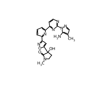 Cc1cnn(-c2nccc(-c3cccc(-c4cc(C5(O)CCN(C)C5=O)on4)n3)n2)c1N